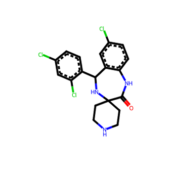 O=C1Nc2ccc(Cl)cc2C(c2ccc(Cl)cc2Cl)NC12CCNCC2